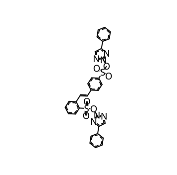 O=S(=O)(On1ncc(-c2ccccc2)n1)c1ccc(C=Cc2ccccc2S(=O)(=O)On2ncc(-c3ccccc3)n2)cc1